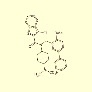 COc1ccc(-c2ccccc2)cc1CN(C(=O)c1sc2ccccc2c1Cl)C1CCC(N(C)C(=O)O)CC1